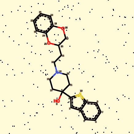 OC1(c2cc3ccccc3s2)CCN(CCC2COc3ccccc3O2)CC1